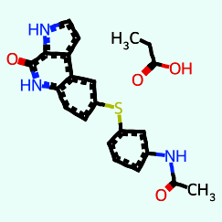 CC(=O)Nc1cccc(Sc2ccc3[nH]c(=O)c4[nH]ccc4c3c2)c1.CCC(=O)O